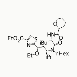 CCCCCCN(C(=O)[C@@H](NC(=O)C1CCCCO1)[C@@H](C)CC)[C@H](C[C@@H](OCC)c1nc(C(=O)OCC)cs1)C(C)C